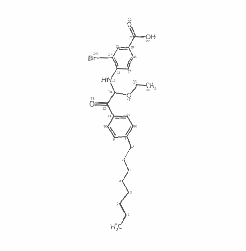 CCCCCCCCc1ccc(C(=O)C(Nc2ccc(C(=O)O)cc2Br)OCC)cc1